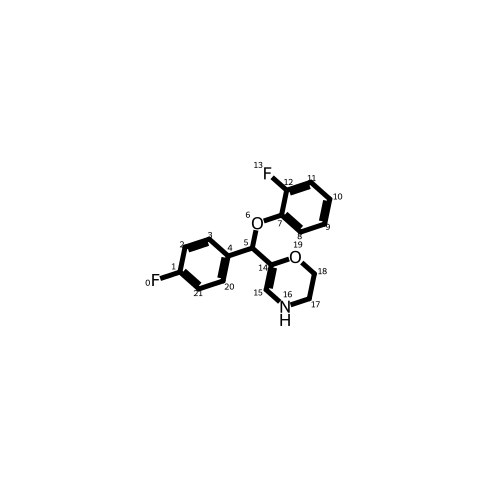 Fc1ccc(C(Oc2ccccc2F)C2=CNCCO2)cc1